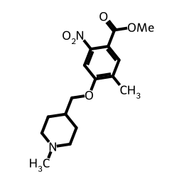 COC(=O)c1cc(C)c(OCC2CCN(C)CC2)cc1[N+](=O)[O-]